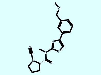 COCc1cccc(-c2csc(N(C)C(=O)[C@@H]3CCCN3C#N)n2)c1